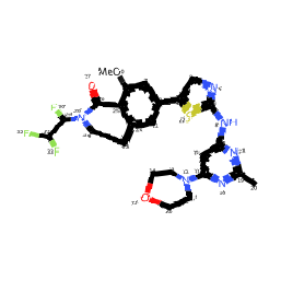 COc1cc(-c2cnc(Nc3cc(N4CCOCC4)nc(C)n3)s2)cc2c1C(=O)N(C(F)C(F)F)CC2